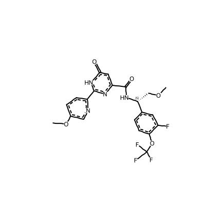 COC[C@@H](NC(=O)c1cc(=O)[nH]c(-c2ccc(OC)cn2)n1)c1ccc(OC(F)(F)F)c(F)c1